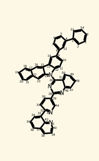 c1ccc(-c2cccc(-c3ccc4c(c3)c3cc5ccccc5cc3n4-c3nc(-c4ccc(-c5cccc6cccnc56)nc4)nc4ccccc34)c2)cc1